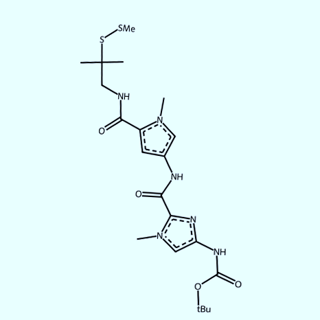 CSSC(C)(C)CNC(=O)c1cc(NC(=O)c2nc(NC(=O)OC(C)(C)C)cn2C)cn1C